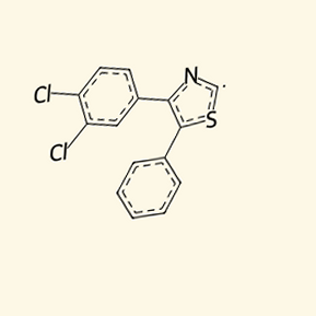 Clc1ccc(-c2n[c]sc2-c2ccccc2)cc1Cl